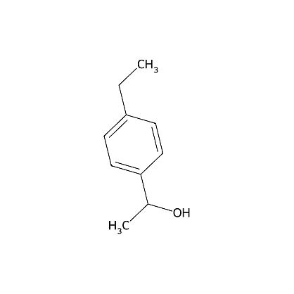 CCc1ccc(C(C)O)cc1